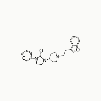 O=C1N(c2ccccc2)CCN1C1CCN(CCc2coc3ccccc23)CC1